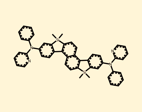 C[Si]1(C)c2cc(N(c3ccccc3)c3ccccn3)ccc2-c2c1ccc1c3c(ccc21)[Si](C)(C)c1cc(N(c2ccccc2)c2ccccn2)ccc1-3